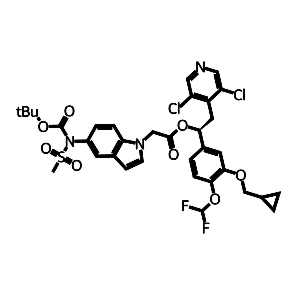 CC(C)(C)OC(=O)N(c1ccc2c(ccn2CC(=O)O[C@@H](Cc2c(Cl)cncc2Cl)c2ccc(OC(F)F)c(OCC3CC3)c2)c1)S(C)(=O)=O